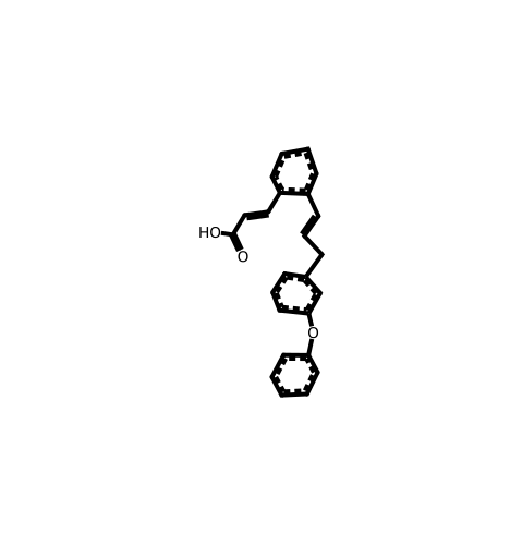 O=C(O)/C=C/c1ccccc1/C=C/Cc1cccc(Oc2ccccc2)c1